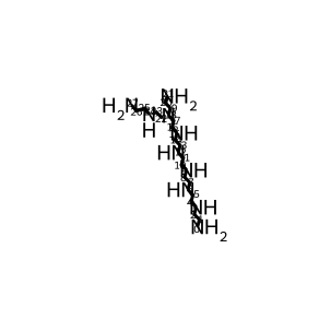 NCCNCCNCCNCCNCCNCCN(CCN)CCNCCN